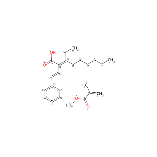 C=C(C)C(=O)OC.CCCCCCC(CC)=C(C=Cc1ccccc1)C(=O)O